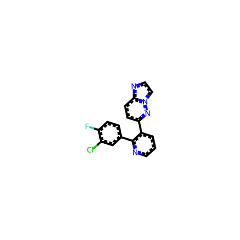 Fc1ccc(-c2ncccc2-c2ccc3nccn3n2)cc1Cl